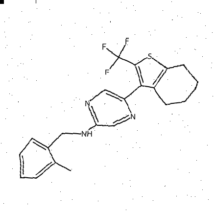 Cc1ccccc1CNc1cnc(-c2c(C(F)(F)F)sc3c2CCCC3)cn1